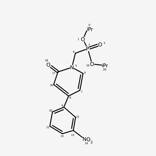 CC(C)OP(=O)(Cn1ccc(-c2cccc([N+](=O)[O-])c2)cc1=O)OC(C)C